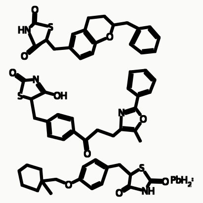 CC1(COc2ccc(CC3SC(=O)NC3=O)cc2)CCCCC1.Cc1oc(-c2ccccc2)nc1CCC(=O)c1ccc(CC2SC(=O)N=C2O)cc1.O=C1NC(=O)C(Cc2ccc3c(c2)CCC(Cc2ccccc2)O3)S1.[PbH2]